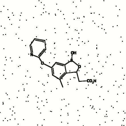 Cc1cc(Oc2ccccn2)cc2c1C(CC(=O)O)OB2O